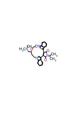 CC(C)N1C(=O)C2=C(C1=O)c1cn(c3ccccc13)CCC(CN(C)C)OCCn1cc2c2ccccc21